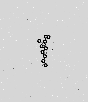 c1ccc(N(c2cccc(-c3cccc4ccccc34)c2)c2cccc3c2oc2cccc(-c4cccc5c4oc4ccc(-c6ccc7sc8ccccc8c7c6)cc45)c23)cc1